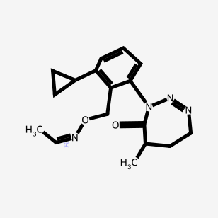 C/C=N\OCc1c(C2CC2)cccc1N1N=NCCC(C)C1=O